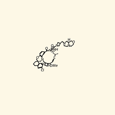 CO[C@H]1/C=C/C[C@H](C)C[S@@](=O)(NC(=O)N2CC(CN3CCN4CCOC[C@@H]4C3)C2)=NC(=O)c2ccc3c(c2)N(C[C@@H]2CC[C@H]21)C[C@@]1(CCCc2cc(Cl)ccc21)CO3